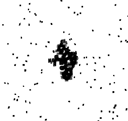 CNC(=O)c1nc(NC(=O)c2nsc3ccccc23)c2n1[C@H](CN1CCN(C)CC1)C(=O)N[C@H]2c1cc(F)ccc1Cl